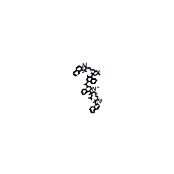 C=C(C)CC(C)(C(=C)/C=C/C=C1/N(C)c2ccc3ccccc3c2C1(C)C)c1c(C)cc(C(C)c2cc3c(c4ccccc24)C(C)(CC(=C)C)C(/C=C/C=C2/N(C)c4ccc5ccccc5c4C2(C)C)=[N+]3C)c2ccccc12